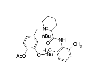 CCCC[N+]1(Cc2ccc(OC(C)=O)c(OC(C)(C)C)c2)CCCCC1C(=O)Nc1c(C)cccc1C